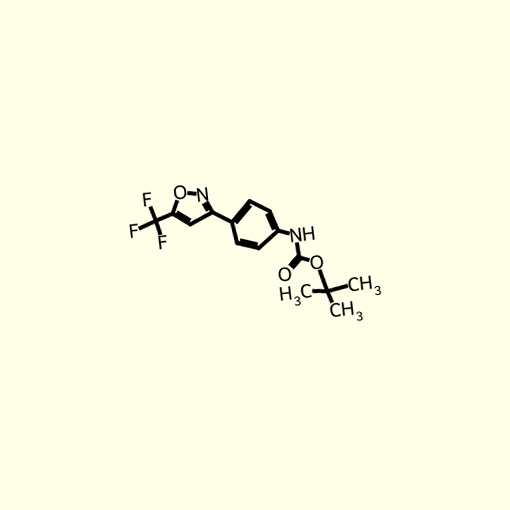 CC(C)(C)OC(=O)Nc1ccc(-c2cc(C(F)(F)F)on2)cc1